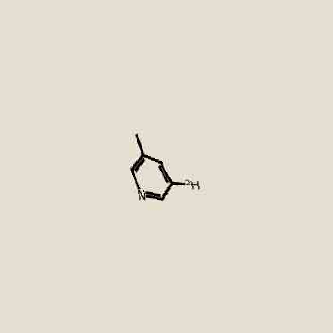 [2H]c1cncc(C)c1